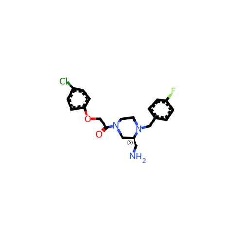 NC[C@H]1CN(C(=O)COc2ccc(Cl)cc2)CCN1Cc1ccc(F)cc1